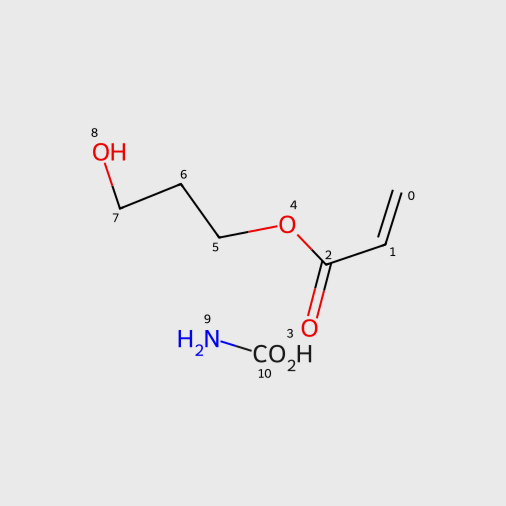 C=CC(=O)OCCCO.NC(=O)O